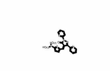 CCCCCCCCN(CCCCCCCC)c1ccc(/C=C2\C(=O)N(c3ccccn3)N=C2c2ccccn2)s1